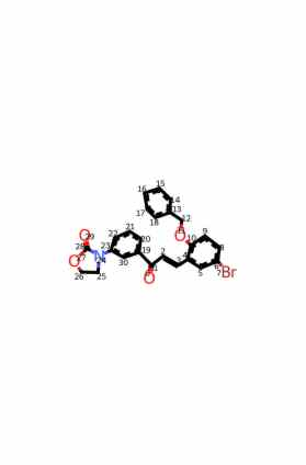 O=C(/C=C/c1cc(Br)ccc1OCc1ccccc1)c1cccc(N2CCOC2=O)c1